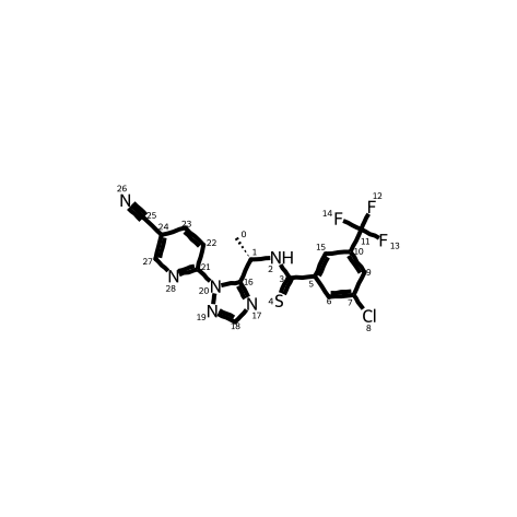 C[C@H](NC(=S)c1cc(Cl)cc(C(F)(F)F)c1)c1ncnn1-c1ccc(C#N)cn1